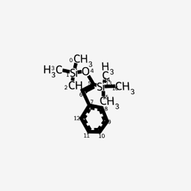 C[Si](C)(C)OC(=Cc1ccccc1)[Si](C)(C)C